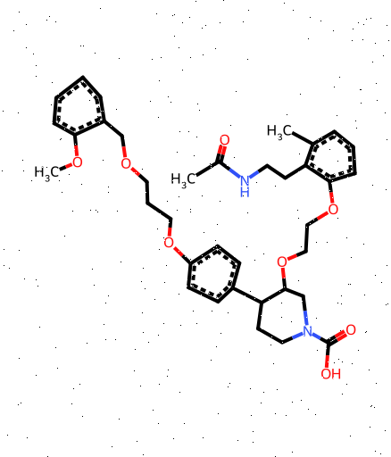 COc1ccccc1COCCCOc1ccc(C2CCN(C(=O)O)CC2OCCOc2cccc(C)c2CCNC(C)=O)cc1